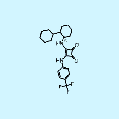 O=c1c(Nc2ccc(C(F)(F)F)cc2)c(N[C@@H]2CCCCC2C2CCCCC2)c1=O